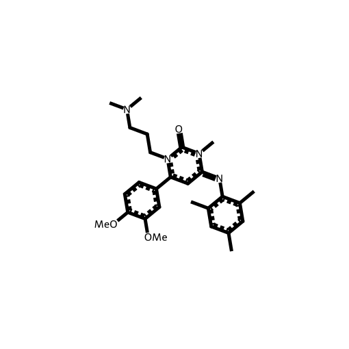 COc1ccc(-c2cc(=Nc3c(C)cc(C)cc3C)n(C)c(=O)n2CCCN(C)C)cc1OC